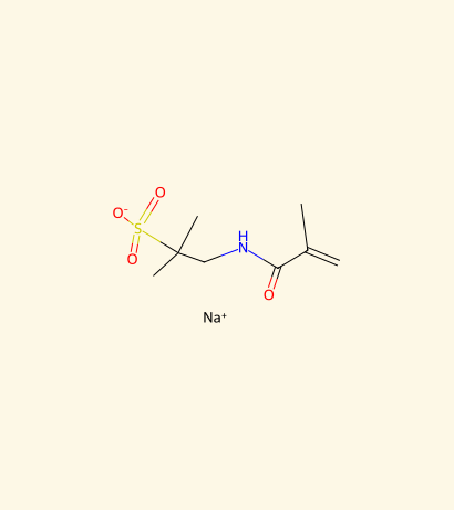 C=C(C)C(=O)NCC(C)(C)S(=O)(=O)[O-].[Na+]